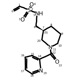 C=CS(=O)(=O)NC[C@H]1CCCN(C(=O)c2ccccn2)C1